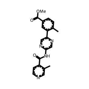 COC(=O)c1ccc(C)c(-c2cnc(NC(=O)c3ccncc3C)cn2)c1